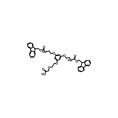 O=C(O)COCCOc1cc(OCCNC(=O)OCC2c3ccccc3-c3ccccc32)cc(OCCNC(=O)OCC2c3ccccc3-c3ccccc32)c1